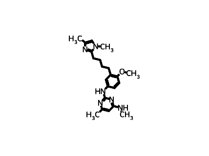 CNc1cc(C)nc(Nc2ccc(OC)c(CCCCc3nc(C)cn3C)c2)n1